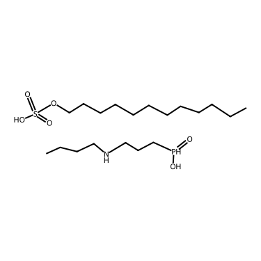 CCCCCCCCCCCCOS(=O)(=O)O.CCCCNCCC[PH](=O)O